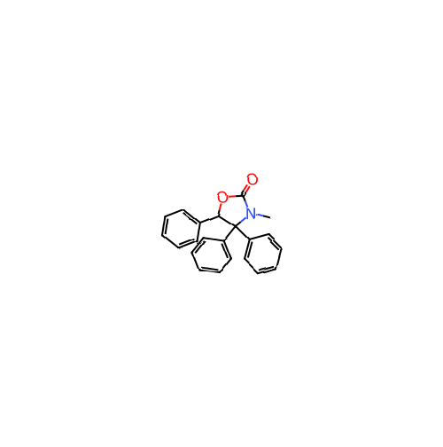 CN1C(=O)OC(c2ccccc2)C1(c1ccccc1)c1ccccc1